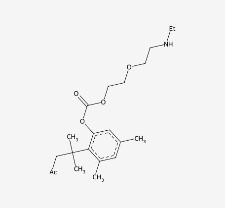 CCNCCOCCOC(=O)Oc1cc(C)cc(C)c1C(C)(C)CC(C)=O